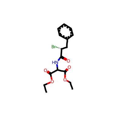 CCOC(=O)C(NC(=O)[C@H](Br)Cc1ccccc1)C(=O)OCC